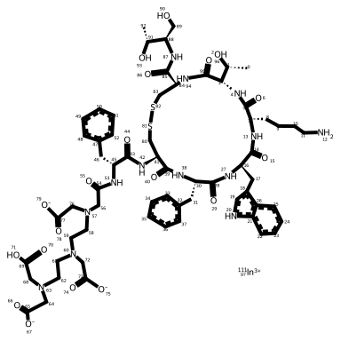 C[C@@H](O)[C@@H]1NC(=O)[C@H](CCCCN)NC(=O)[C@@H](Cc2c[nH]c3ccccc23)NC(=O)[C@H](Cc2ccccc2)NC(=O)[C@@H](NC(=O)[C@@H](Cc2ccccc2)NC(=O)CN(CCN(CCN(CC(=O)[O-])CC(=O)O)CC(=O)[O-])CC(=O)[O-])CSSC[C@@H](C(=O)N[C@H](CO)[C@@H](C)O)NC1=O.[111In+3]